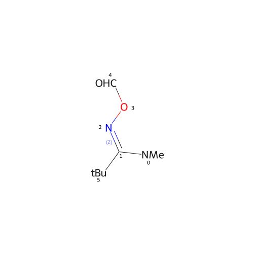 CN/C(=N\OC=O)C(C)(C)C